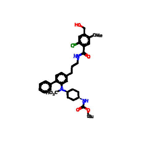 COc1cc(C(=O)NCCCc2ccc(-c3ccccc3)c(N(C(=O)O)[C@H]3CC[C@H](NC(=O)OC(C)(C)C)CC3)c2)c(Cl)cc1CO